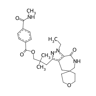 CCn1nc(CC(C)(C)COC(=O)c2ccc(C(=O)NC)cc2)c2c1C(=O)NCC1(CCOCC1)C2